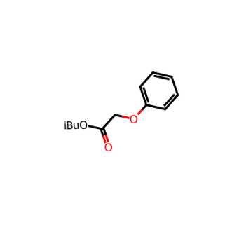 CC(C)COC(=O)COc1ccccc1